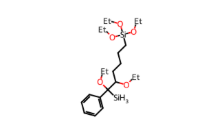 CCOC(CCCC[Si](OCC)(OCC)OCC)C([SiH3])(OCC)c1ccccc1